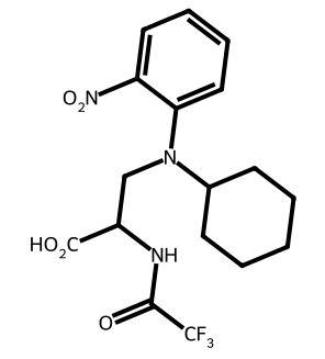 O=C(O)C(CN(c1ccccc1[N+](=O)[O-])C1CCCCC1)NC(=O)C(F)(F)F